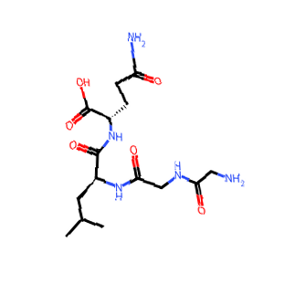 CC(C)C[C@H](NC(=O)CNC(=O)CN)C(=O)N[C@@H](CCC(N)=O)C(=O)O